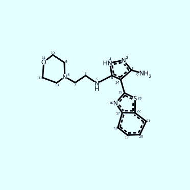 Nc1n[nH]c(NCCN2CCOCC2)c1-c1nc2ccccc2s1